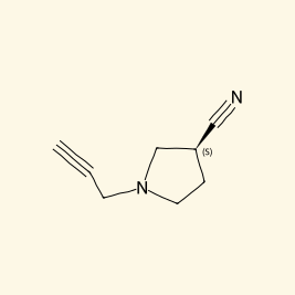 C#CCN1CC[C@H](C#N)C1